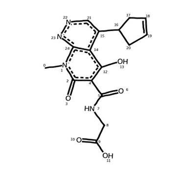 Cn1c(=O)c(C(=O)NCC(=O)O)c(O)c2c(C3CC=CC3)cnnc21